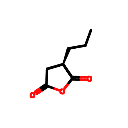 CCC[C@@H]1CC(=O)OC1=O